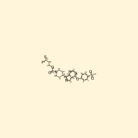 CS(=O)(=O)c1ccc(Oc2ncnc3c2cnn3C2CCN(C(=O)OCCC(F)F)CC2)cc1